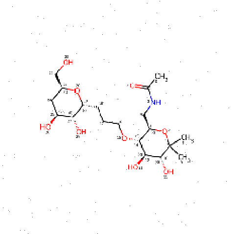 CC(=O)NC[C@H]1OC(C)(C)[C@H](O)[C@@H](O)[C@@H]1OCCC[C@H]1O[C@H](CO)C[C@H](O)[C@H]1O